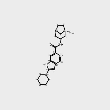 O=C(N[C@@H]1C[C@@H]2CCN(C2)C1)c1cc2oc(N3CCCCC3)cc2cn1